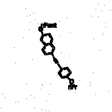 CCCCCOc1ccc2cc(C#Cc3ccc(OCCC)cc3)ccc2c1